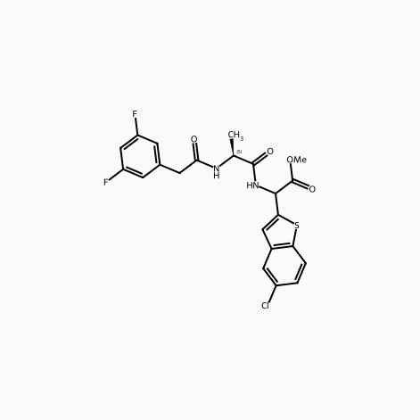 COC(=O)C(NC(=O)[C@H](C)NC(=O)Cc1cc(F)cc(F)c1)c1cc2cc(Cl)ccc2s1